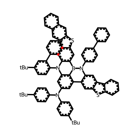 CC(C)(C)c1ccc(N(c2ccc(C(C)(C)C)cc2)c2cc3c4c(c2)N(c2ccc(C(C)(C)C)cc2-c2ccccc2)c2cc5c(cc2B4N(c2ccc(-c4ccccc4)cc2)c2cc4c(cc2-3)sc2ccccc24)sc2cc3ccccc3cc25)cc1